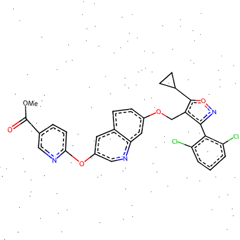 COC(=O)c1ccc(Oc2cnc3cc(OCc4c(-c5c(Cl)cccc5Cl)noc4C4CC4)ccc3c2)nc1